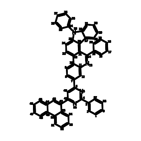 c1ccc(-c2nc(-c3ccc4c(c3)nc(-c3ccccc3)c3c4ccc4c3c3ccccc3n4-c3ccccc3)cc(-c3cc4ccccc4c4ccccc34)n2)cc1